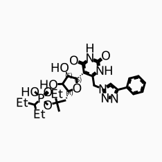 CCC(CC)P(=O)(O)OC(C)(CC)C[C@H]1O[C@@H](c2c(Cn3cc(-c4ccccc4)nn3)[nH]c(=O)[nH]c2=O)[C@@H](O)C1O